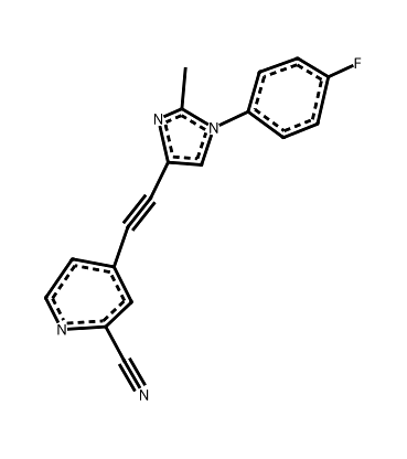 Cc1nc(C#Cc2ccnc(C#N)c2)cn1-c1ccc(F)cc1